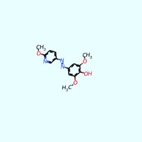 COc1ccc(/N=N/c2cc(OC)c(O)c(OC)c2)cn1